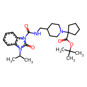 CC(C)n1c(=O)n(C(=O)NCC2CCN(C3(C(=O)OC(C)(C)C)CCCC3)CC2)c2ccccc21